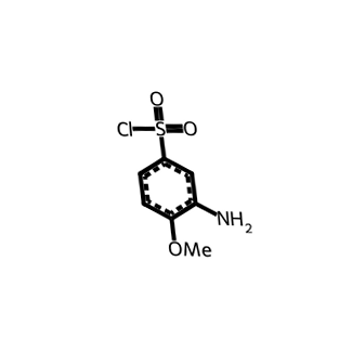 COc1ccc(S(=O)(=O)Cl)cc1N